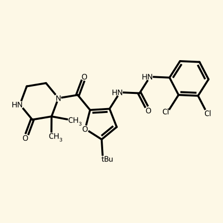 CC(C)(C)c1cc(NC(=O)Nc2cccc(Cl)c2Cl)c(C(=O)N2CCNC(=O)C2(C)C)o1